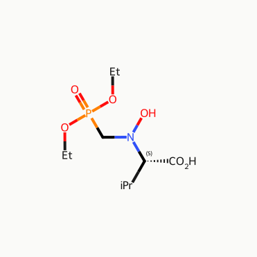 CCOP(=O)(CN(O)[C@H](C(=O)O)C(C)C)OCC